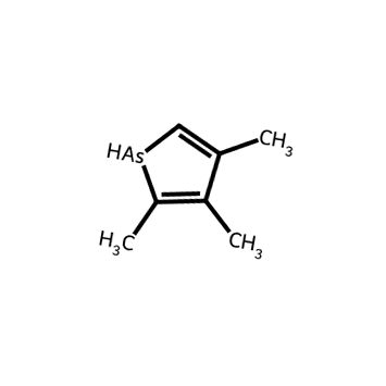 CC1=C[AsH]C(C)=C1C